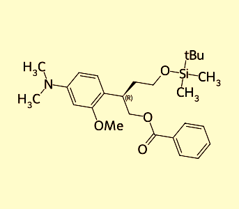 COc1cc(N(C)C)ccc1[C@@H](CCO[Si](C)(C)C(C)(C)C)COC(=O)c1ccccc1